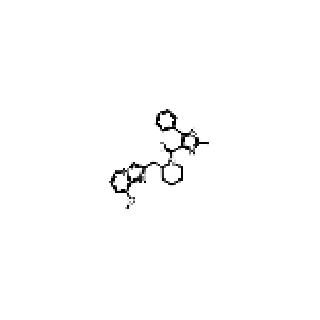 COc1cccn2cc(C[C@@H]3CCCCN3C(=O)c3nc(C)sc3-c3ccccc3)nc12